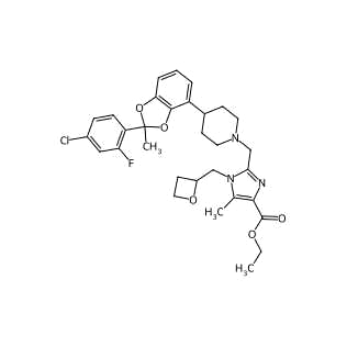 CCOC(=O)c1nc(CN2CCC(c3cccc4c3OC(C)(c3ccc(Cl)cc3F)O4)CC2)n(CC2CCO2)c1C